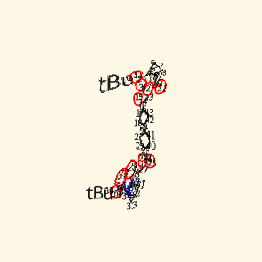 CC(C)(C)OC(=O)C1C2CC2C[C@H]1C(=O)OCC(=O)c1ccc(-c2ccc(C(=O)OCC(=O)[C@@H]3CC4CC4N3C(=O)OC(C)(C)C)cc2)cc1